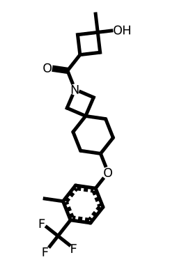 Cc1cc(OC2CCC3(CC2)CN(C(=O)C2CC(C)(O)C2)C3)ccc1C(F)(F)F